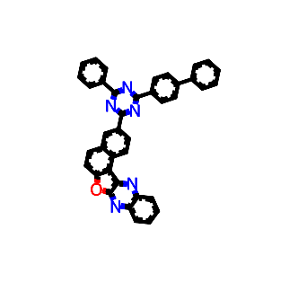 c1ccc(-c2ccc(-c3nc(-c4ccccc4)nc(-c4ccc5c(ccc6oc7nc8ccccc8nc7c65)c4)n3)cc2)cc1